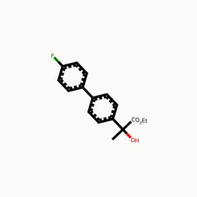 CCOC(=O)C(C)(O)c1ccc(-c2ccc(F)cc2)cc1